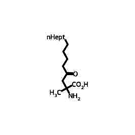 CCCCCCCCCCCC(=O)CC(C)(N)C(=O)O